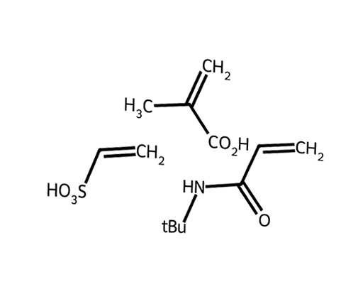 C=C(C)C(=O)O.C=CC(=O)NC(C)(C)C.C=CS(=O)(=O)O